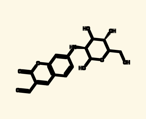 O=Cc1cc2ccc(N[C@@H]3C(O)OC(CO)[C@@H](O)C3O)cc2oc1=O